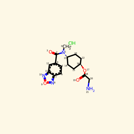 CN(C(=O)c1ccc2nonc2c1)[C@H]1CC[C@H](OC(=O)CN)CC1.Cl